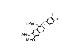 CCCCCC1=[N+](Cc2ccc(F)c(F)c2)CCc2cc(OC)c(OC)cc21